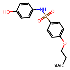 CCCCCCCCCCCCOc1ccc(S(=O)(=O)Nc2ccc(O)cc2)cc1